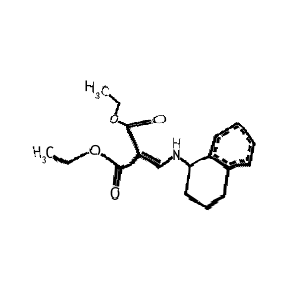 CCOC(=O)C(=CNC1CCCc2ccccc21)C(=O)OCC